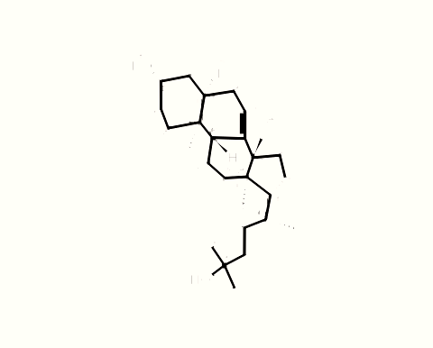 C[C@H](CCC(C)(C)O)[C@H]1CC[C@H]2C3=CC[C@@H]4C[C@@H](O)CC[C@]4(C)[C@H]3CC[C@]12C